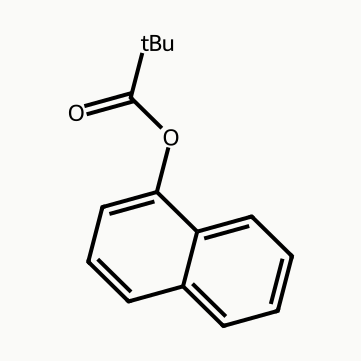 CC(C)(C)C(=O)Oc1cccc2ccccc12